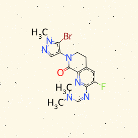 CN(C)/C=N\c1nc2c(cc1F)CCN(c1cnn(C)c1Br)C2=O